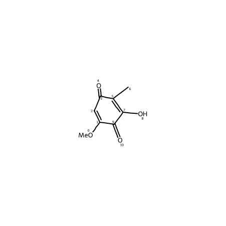 COC1=CC(=O)C(C)=C(O)C1=O